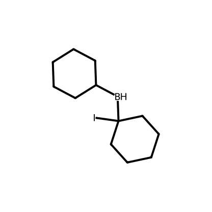 IC1(BC2CCCCC2)CCCCC1